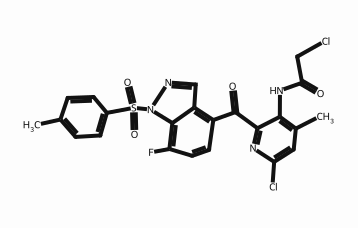 Cc1ccc(S(=O)(=O)n2ncc3c(C(=O)c4nc(Cl)cc(C)c4NC(=O)CCl)ccc(F)c32)cc1